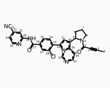 CC#CC(=O)N1CCCC1c1cc(-c2ccc(C(=O)Nc3cc(C#N)ccn3)cc2Cl)n2cnccc12